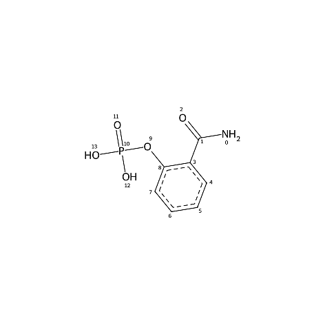 NC(=O)c1ccccc1OP(=O)(O)O